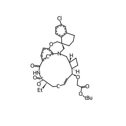 CC[C@@H]1CC/C=C/[C@H](OCC(=O)OC(C)(C)C)[C@@H]2CC[C@H]2CN2C[C@@]3(CCCc4cc(Cl)ccc43)COc3ccc(cc32)C(=O)NS1(=O)=O